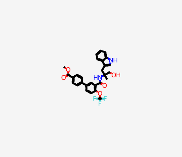 COC(=O)c1ccc(-c2ccc(OC(F)(F)F)c(C(=O)NC(C)(CO)Cc3c[nH]c4ccccc34)c2)cc1